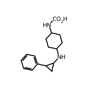 O=C(O)NC1CCC(NC2CC2c2ccccc2)CC1